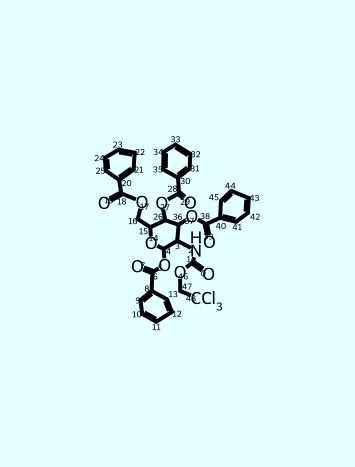 O=C(NC1C(OC(=O)c2ccccc2)OC(COC(=O)c2ccccc2)C(OC(=O)c2ccccc2)C1OC(=O)c1ccccc1)OCC(Cl)(Cl)Cl